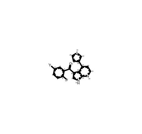 O=C(c1cc(F)ccc1F)c1c[nH]c2nccc(-c3ccsc3)c12